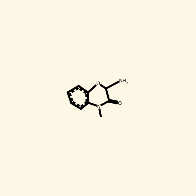 CN1C(=O)C(N)Oc2ccccc21